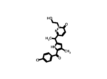 Cc1cc(C(C)c2ccc(=O)n(CCO)n2)[nH]c1C(=O)c1ccc(Cl)cc1